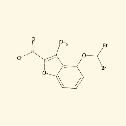 CCC(Br)Oc1cccc2oc(C(=O)Cl)c(C)c12